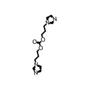 O=C(OCCCn1ccnc1)OCCCn1ccnc1